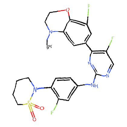 CC(C)N1CCOc2c(F)cc(-c3nc(Nc4ccc(N5CCCCS5(=O)=O)c(F)c4)ncc3F)cc21